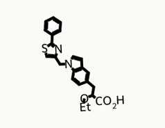 CCOC(Cc1ccc2c(ccn2Cc2csc(-c3ccccc3)n2)c1)C(=O)O